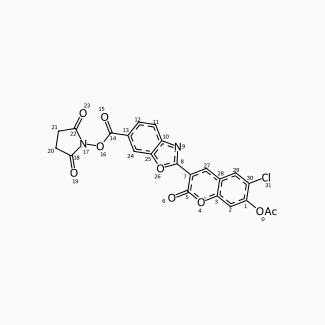 CC(=O)Oc1cc2oc(=O)c(-c3nc4ccc(C(=O)ON5C(=O)CCC5=O)cc4o3)cc2cc1Cl